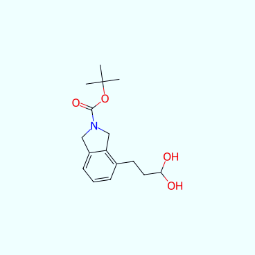 CC(C)(C)OC(=O)N1Cc2cccc(CCC(O)O)c2C1